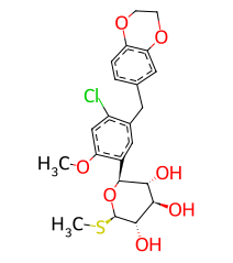 COc1cc(Cl)c(Cc2ccc3c(c2)OCCO3)cc1[C@@H]1O[C@H](SC)[C@@H](O)[C@H](O)[C@H]1O